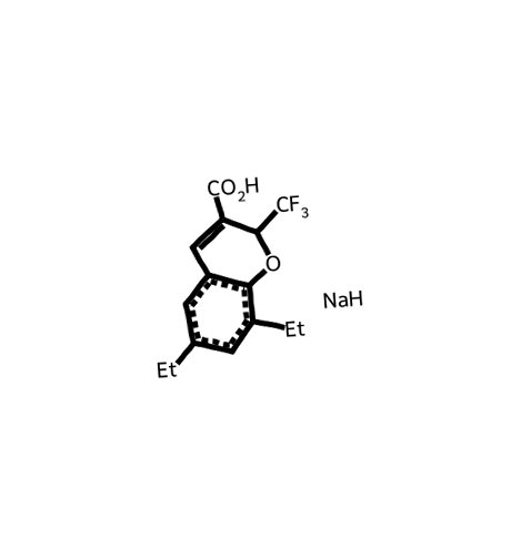 CCc1cc2c(c(CC)c1)OC(C(F)(F)F)C(C(=O)O)=C2.[NaH]